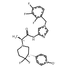 C[C@@H](C(=O)Nc1cn(Cc2ccc(F)c(F)c2F)cn1)N1CCC(F)(F)[C@@H](c2cc[n+]([O-])cc2)C1